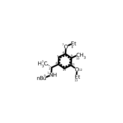 CCCCN[C@H](C)c1cc(OCC)c(C)c(OCC)c1